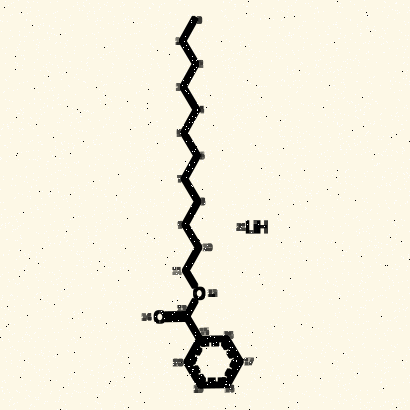 CCCCCCCCCCCCOC(=O)c1ccccc1.[LiH]